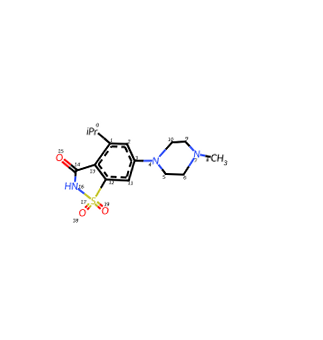 CC(C)c1cc(N2CCN(C)CC2)cc2c1C(=O)NS2(=O)=O